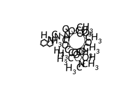 CCC1OC(=O)C(C)C(=O)C(C)[C@@H](OC2OC(C)CC(N(C)C)[C@H]2O)[C@@](C)(OC)CC(C)C(=O)C(C)[C@H]2N(CCN(C)Cc3ccc4ccccc4n3)C(=O)O[C@]12CC